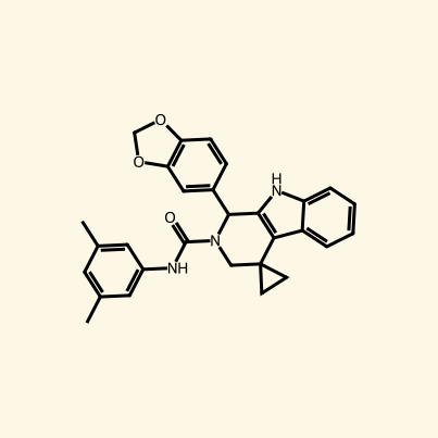 Cc1cc(C)cc(NC(=O)N2CC3(CC3)c3c([nH]c4ccccc34)C2c2ccc3c(c2)OCO3)c1